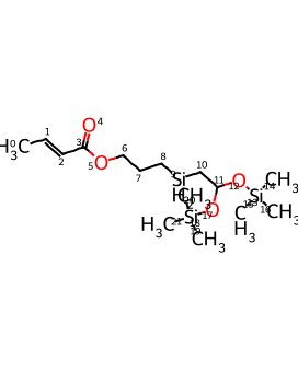 CC=CC(=O)OCCC[SiH2]CC(O[Si](C)(C)C)O[Si](C)(C)C